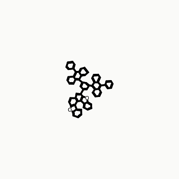 c1ccc(-c2c3ccccc3c(-c3cc(-c4c5ccccc5c(-c5ccccc5)c5ccccc45)cc(-c4cc5ccc6oc7ccccc7c6c5c5c4oc4ccccc45)c3)c3ccccc23)cc1